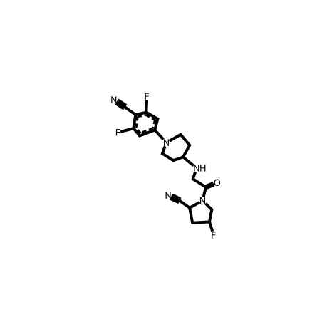 N#Cc1c(F)cc(N2CCC(NCC(=O)N3CC(F)CC3C#N)CC2)cc1F